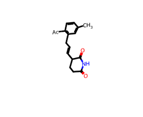 CC(=O)c1ccc(C)cc1C/C=C/C1CCC(=O)NC1=O